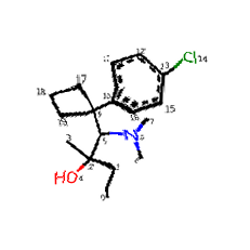 CCC(C)(O)C(N(C)C)C1(c2ccc(Cl)cc2)CCC1